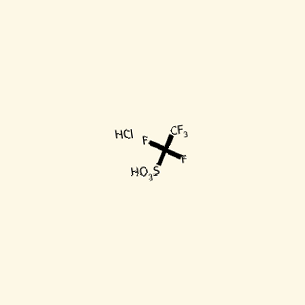 Cl.O=S(=O)(O)C(F)(F)C(F)(F)F